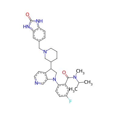 CC(C)N(C)C(=O)c1cc(F)ccc1N1CC(C2CCCN(Cc3ccc4[nH]c(=O)[nH]c4c3)C2)c2ccncc21